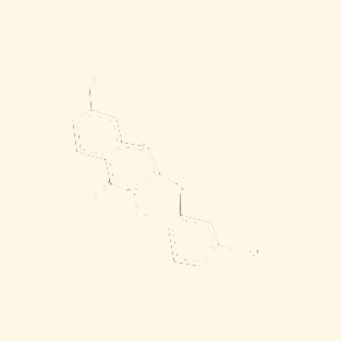 COc1cccc(Nc2nc3cc(Cl)ccc3c(=O)n2O)c1